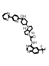 O=C(CNc1ncnc2ccc(C(F)(F)F)cc12)N1CC[C@@H]2[C@H]1CCN2C1CCC(O)(c2ccc(-c3ncccn3)cn2)CC1